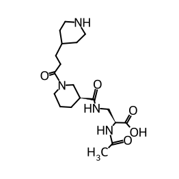 CC(=O)N[C@@H](CNC(=O)[C@H]1CCCN(C(=O)CCC2CCNCC2)C1)C(=O)O